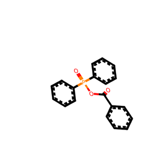 O=C(OP(=O)(c1ccccc1)c1ccccc1)c1ccccc1